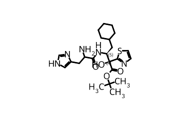 CC(C)(C)OC(=O)[C@@](O)(c1nccs1)[C@H](CC1CCCCC1)NC(=O)C(N)Cc1c[nH]cn1